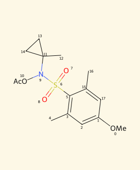 COc1cc(C)c(S(=O)(=O)N(OC(C)=O)C2(C)CC2)c(C)c1